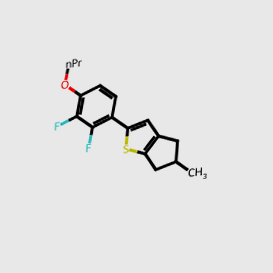 CCCOc1ccc(-c2cc3c(s2)CC(C)C3)c(F)c1F